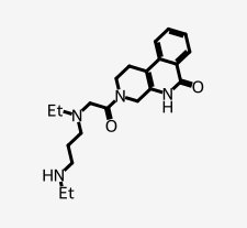 CCNCCCN(CC)CC(=O)N1CCc2c([nH]c(=O)c3ccccc23)C1